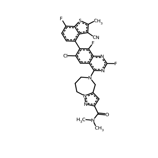 Cc1sc2c(F)ccc(-c3c(Cl)cc4c(N5CCCn6nc(C(=O)N(C)C)cc6C5)nc(F)nc4c3F)c2c1C#N